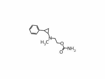 CN(CCOC(N)=O)C1CC1c1ccccc1